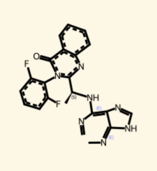 C=N/C(N[C@@H](C)c1nc2ccccc2c(=O)n1-c1c(F)cccc1F)=C1/N=CN/C1=N/C